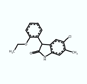 CCOc1ccccc1C1C(=O)Nc2cc(C)c(Cl)cc21